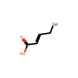 O=C(O)C=C[CH2][Ge]